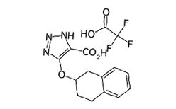 O=C(O)C(F)(F)F.O=C(O)c1[nH]nnc1OC1CCc2ccccc2C1